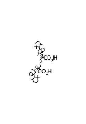 CC(CC(=O)C1C(C)C=CCC1(C)C)S[C@@H](CCCC[C@@H](SC(C)CC(=O)C1C(C)C=CCC1(C)C)C(=O)O)C(=O)O